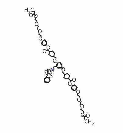 C=CC(=O)OCCOCCOCCOc1ccc(OC(=O)C2CCC(COc3ccc(OCC4CCC(C(=O)Oc5ccc(OCCOCCOCCOC(=O)C=C)cc5)CC4)c(/C=N/Nc4nc5ccccc5s4)c3)CC2)cc1